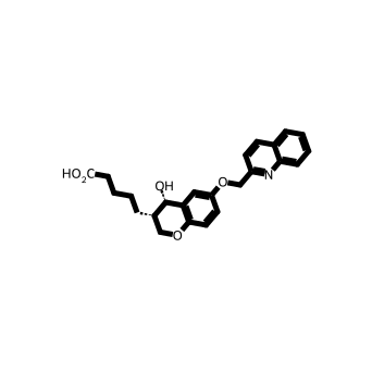 O=C(O)CCCC[C@H]1COc2ccc(OCc3ccc4ccccc4n3)cc2[C@H]1O